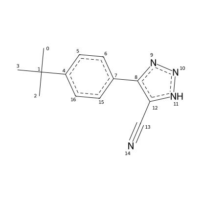 CC(C)(C)c1ccc(-c2nn[nH]c2C#N)cc1